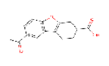 CC(=O)c1ccc2oc3c(c2c1)CCC(C(=O)O)C3